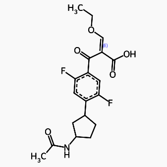 CCO/C=C(/C(=O)O)C(=O)c1cc(F)c(C2CCC(NC(C)=O)C2)cc1F